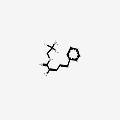 CC(=CC=Cc1ccccc1)C(=O)OCC(F)(F)C(F)(F)F